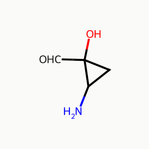 NC1CC1(O)C=O